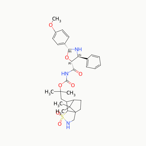 COc1ccc([C@@H]2N[C@@H](c3ccccc3)[C@H](C(=O)NC(=O)OC(C)(C)CC3C4CCC5(CNS(=O)(=O)C35)C4(C)C)O2)cc1